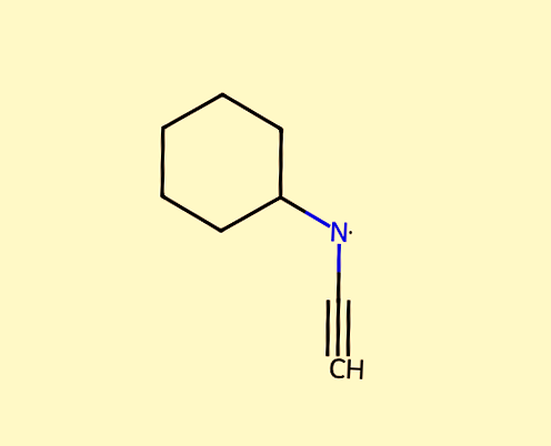 C#C[N]C1CCCCC1